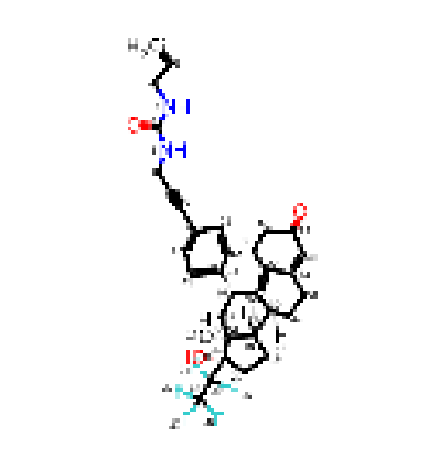 C=CCNC(=O)NCC#Cc1ccc([C@H]2C[C@@]3(C)[C@@H](CC[C@@]3(O)C(F)(F)C(F)(F)F)[C@@H]3CCC4=CC(=O)CCC4=C32)cc1